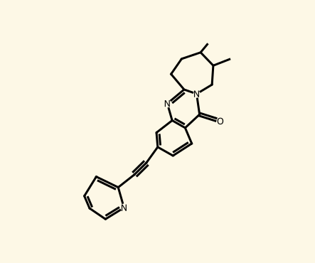 CC1CCc2nc3cc(C#Cc4ccccn4)ccc3c(=O)n2CC1C